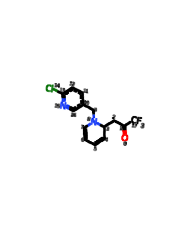 O=C(CC1C=CC=CN1Cc1ccc(Cl)nc1)C(F)(F)F